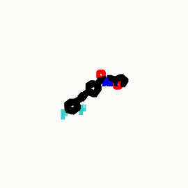 O=C(NCC1CCCO1)c1ccc(C#Cc2ccc(F)cc2F)cc1